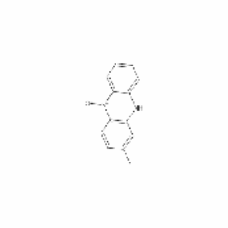 Cc1ccc2c(c1)Nc1ccccc1[S+]2[O-]